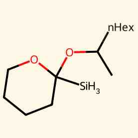 CCCCCCC(C)OC1([SiH3])CCCCO1